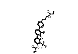 C=CC(=O)OCCCc1ccc(-c2ccc3c(sc4c(C(F)(F)F)c(OC(=O)C=C)ccc43)c2F)cc1